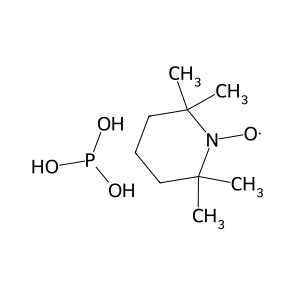 CC1(C)CCCC(C)(C)N1[O].OP(O)O